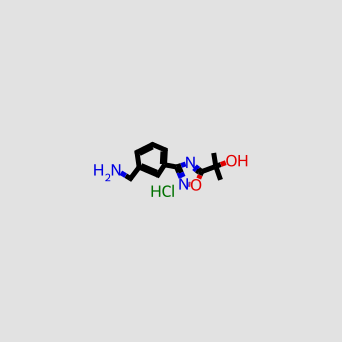 CC(C)(O)c1nc(-c2cccc(CN)c2)no1.Cl